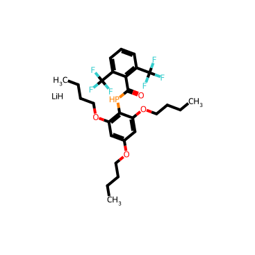 CCCCOc1cc(OCCCC)c(PC(=O)c2c(C(F)(F)F)cccc2C(F)(F)F)c(OCCCC)c1.[LiH]